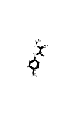 CC(C)(C)OC(=O)C(F)Oc1ccc([N+](=O)[O-])cc1